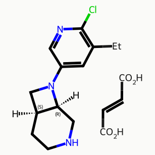 CCc1cc(N2C[C@@H]3CCNC[C@@H]32)cnc1Cl.O=C(O)C=CC(=O)O